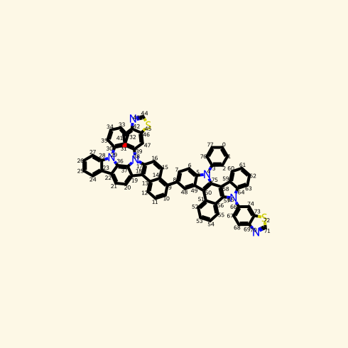 c1ccc(-n2c3ccc(-c4cccc5c4ccc4c5c5ccc6c7ccccc7n(-c7ccccc7)c6c5n4-c4ccc5ncsc5c4)cc3c3c4ccccc4c4c(c5ccccc5n4-c4ccc5ncsc5c4)c32)cc1